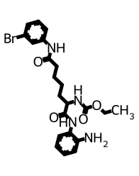 CCOC(=O)NC(CCCCC(=O)Nc1cccc(Br)c1)C(=O)Nc1ccccc1N